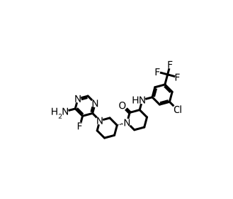 Nc1ncnc(N2CCC[C@@H](N3CCCC(Nc4cc(Cl)cc(C(F)(F)F)c4)C3=O)C2)c1F